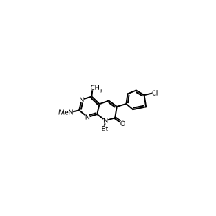 CCn1c(=O)c(-c2ccc(Cl)cc2)cc2c(C)nc(NC)nc21